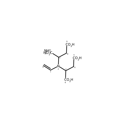 C=CN(C(CC(=O)O)C(=O)O)C(CC(=O)O)C(=O)O.N